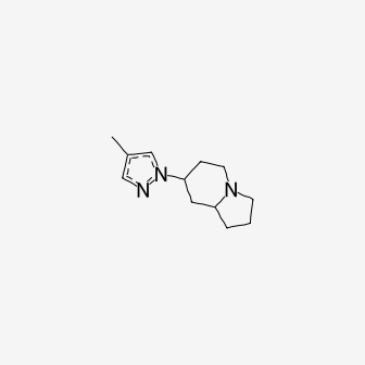 Cc1cnn(C2CCN3CCCC3C2)c1